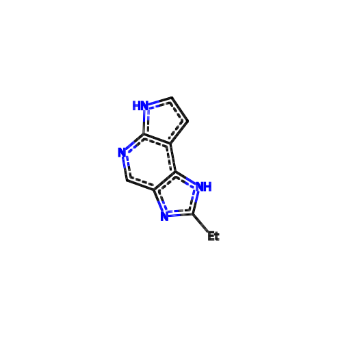 CCc1nc2cnc3[nH]ccc3c2[nH]1